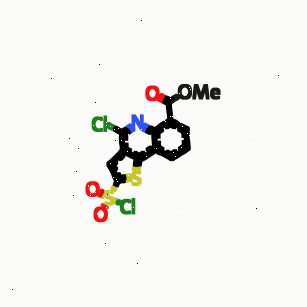 COC(=O)c1cccc2c1nc(Cl)c1cc(S(=O)(=O)Cl)sc12